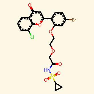 O=C(COCCOc1cc(Br)ccc1-c1cc(=O)c2cccc(Cl)c2o1)NS(=O)(=O)C1CC1